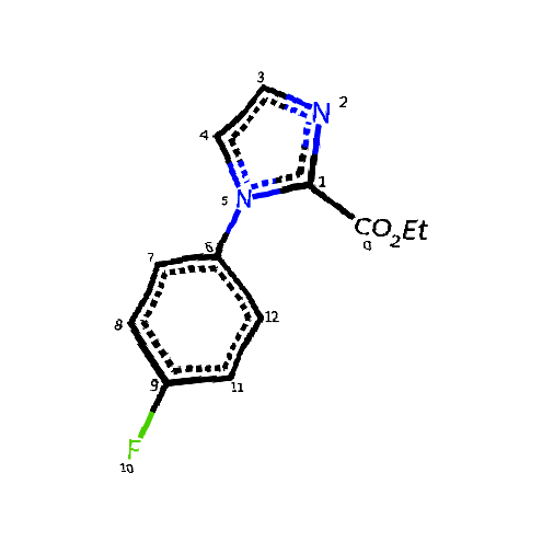 CCOC(=O)c1nccn1-c1ccc(F)cc1